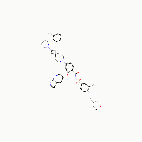 O=C(NS(=O)(=O)c1ccc(NCC2CCOCC2)c([N+](=O)[O-])c1)c1ccc(N2CCC3(CC2)CC(N2CCC[C@H]2c2ccccc2Br)C3)cc1Oc1cnc2[nH]ccc2c1